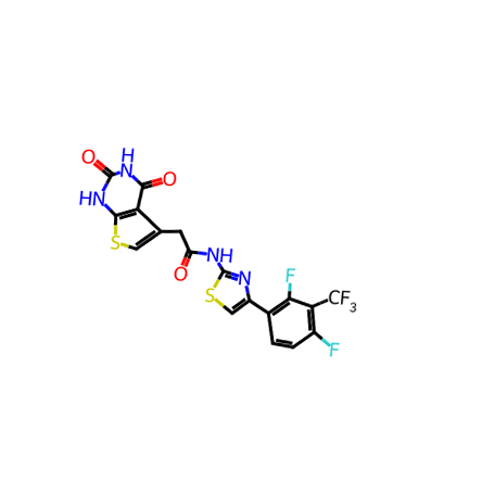 O=C(Cc1csc2[nH]c(=O)[nH]c(=O)c12)Nc1nc(-c2ccc(F)c(C(F)(F)F)c2F)cs1